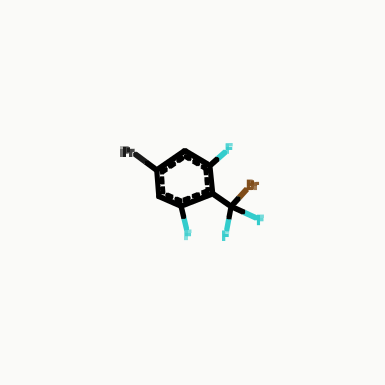 CC(C)c1cc(F)c(C(F)(F)Br)c(F)c1